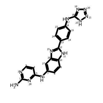 Nc1nccc(Nc2ccc3[nH]c(-c4ccc(Nc5nnn[nH]5)cc4)nc3c2)n1